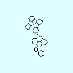 c1ccc2c(c1)-c1ccccc1C21c2ccccc2-c2cc(-c3cc4cccc5c6c7ccccc7oc6c6cccc3c6c45)ccc21